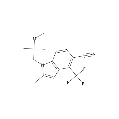 COC(C)(C)Cn1c(C)cc2c(C(F)(F)F)c(C#N)ccc21